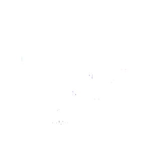 COC(=O)Cn1cc(-c2cccc(F)c2Cl)c(=O)n([C@@H](C)CS(C)(=O)=O)c1=O